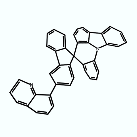 c1ccc2c(c1)-c1cc(-c3cccc4cccnc34)ccc1C21c2ccccc2-n2c3ccccc3c3cccc1c32